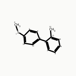 CSc1ccc(-c2ccccc2C)cc1